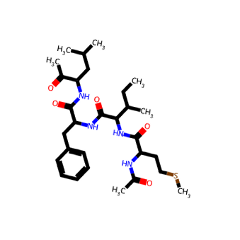 CCC(C)C(NC(=O)C(CCSC)NC(C)=O)C(=O)NC(Cc1ccccc1)C(=O)NC(CC(C)C)C(C)=O